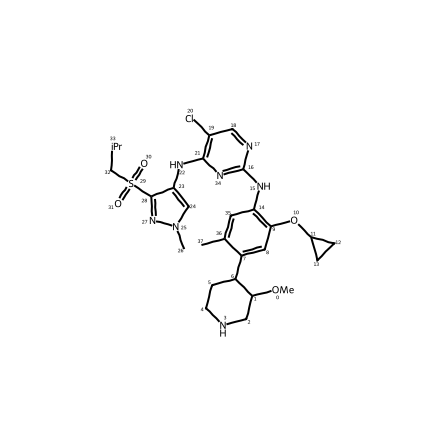 COC1CNCCC1c1cc(OC2CC2)c(Nc2ncc(Cl)c(Nc3cn(C)nc3S(=O)(=O)CC(C)C)n2)cc1C